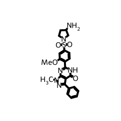 COc1cc(S(=O)(=O)N2CCC(N)C2)ccc1-c1nc2c(c(-c3ccccc3)nn2C)c(=O)[nH]1